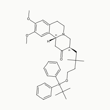 COc1cc2c(cc1OC)[C@H]1CC(=O)[C@H](CC(C)(C)CCO[Si](c3ccccc3)(c3ccccc3)C(C)(C)C)CN1CC2